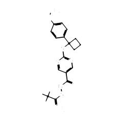 C=C(NNC(=O)c1cnc(NC2(c3ccc(OC)cc3)CCC2)nc1)C(F)(F)F